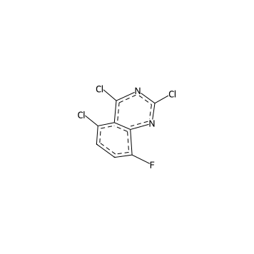 Fc1ccc(Cl)c2c(Cl)nc(Cl)nc12